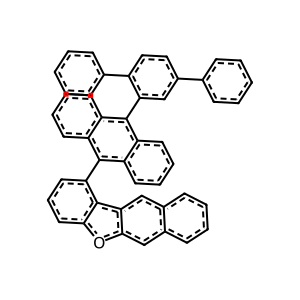 c1ccc(-c2ccc(-c3ccccc3)c(-c3c4ccccc4c(-c4cccc5oc6cc7ccccc7cc6c45)c4ccccc34)c2)cc1